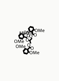 COc1cccc(OC)c1C(=O)OCC(COC(=O)c1c(OC)cccc1OC)OC(=O)c1c(OC)cccc1OC